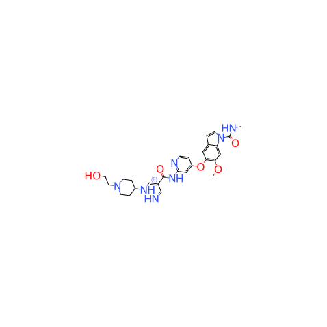 CNC(=O)n1ccc2cc(Oc3ccnc(NC(=O)/C(C=N)=C/NC4CCN(CCO)CC4)c3)c(OC)cc21